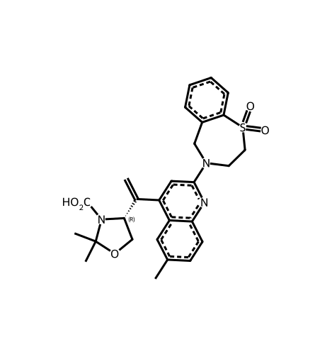 C=C(c1cc(N2CCS(=O)(=O)c3ccccc3C2)nc2ccc(C)cc12)[C@@H]1COC(C)(C)N1C(=O)O